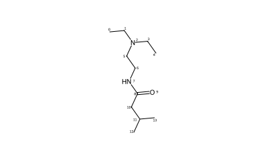 CCN(CC)CCNC(=O)CC(C)C